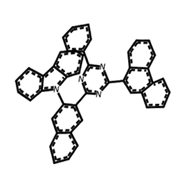 c1ccc(-c2nc(-c3cc4ccccc4cc3-n3c4ccccc4c4ccccc43)nc(-c3cc4ccccc4c4ccccc34)n2)cc1